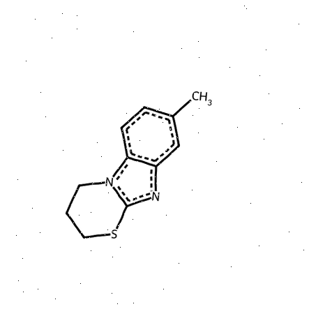 Cc1ccc2c(c1)nc1n2CCCS1